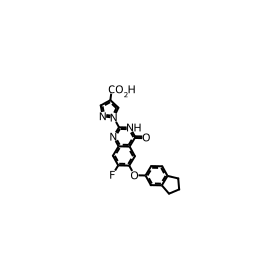 O=C(O)c1cnn(-c2nc3cc(F)c(Oc4ccc5c(c4)CCC5)cc3c(=O)[nH]2)c1